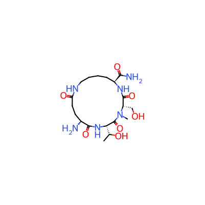 CC(O)[C@@H]1NC(=O)[C@@H](N)CCC(=O)NCCCC[C@@H](C(N)=O)NC(=O)[C@H](CO)N(C)C1=O